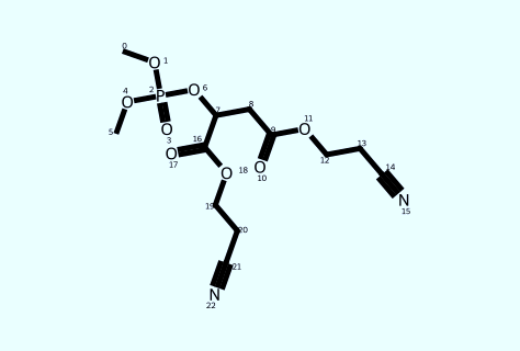 COP(=O)(OC)OC(CC(=O)OCCC#N)C(=O)OCCC#N